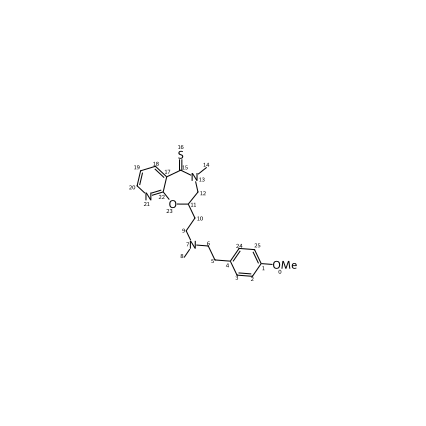 COc1ccc(CCN(C)CCC2CN(C)C(=S)c3cccnc3O2)cc1